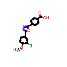 COc1ccc(-c2nnc(-c3ccc(C(=O)O)cc3)o2)cc1Cl